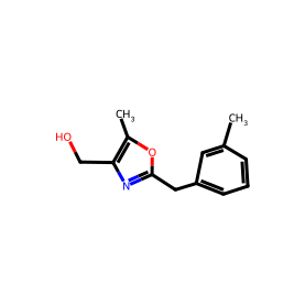 Cc1cccc(Cc2nc(CO)c(C)o2)c1